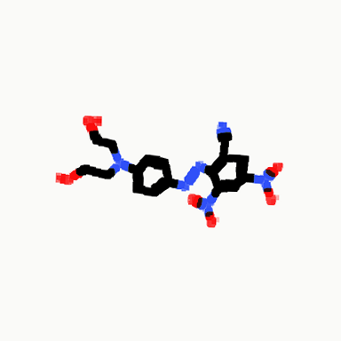 N#Cc1cc([N+](=O)[O-])cc([N+](=O)[O-])c1N=Nc1ccc(N(CCO)CCO)cc1